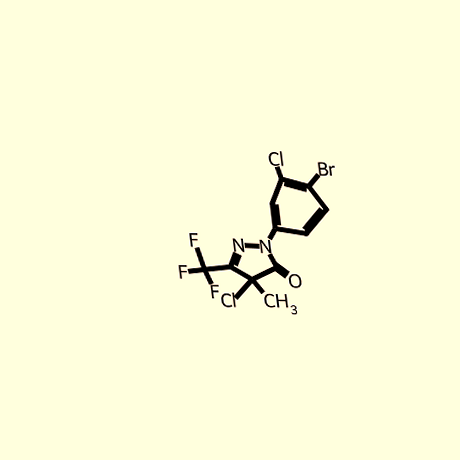 CC1(Cl)C(=O)N(c2ccc(Br)c(Cl)c2)N=C1C(F)(F)F